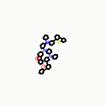 c1ccc(N(c2cccc(-c3cccc4c3oc3ccccc34)c2)c2cccc(N(c3cccc(N(c4ccccc4)c4cccc(-c5cccc6c5sc5ccccc56)c4)c3)c3ccc4oc5ccccc5c4c3)c2)cc1